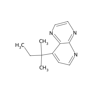 CCC(C)(C)c1ccnc2nccnc12